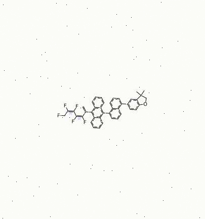 C=C(/C(F)=C(F)\C(F)=C(\F)CF)c1c2ccccc2c(-c2cccc3c(-c4ccc5c(c4)C(C)(C)CO5)cccc23)c2ccccc12